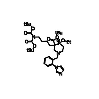 CCOP1(=O)CCN(Cc2ccccc2-n2ccnc2)CC1(CCCCN(C(=O)OC(C)(C)C)C(=O)OC(C)(C)C)C(=O)OC(C)(C)C